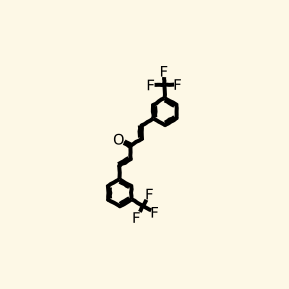 O=C(C=Cc1cccc(C(F)(F)F)c1)C=Cc1cccc(C(F)(F)F)c1